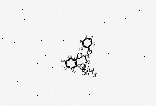 [SiH3]OCC(Oc1ccccc1)Oc1ccccc1